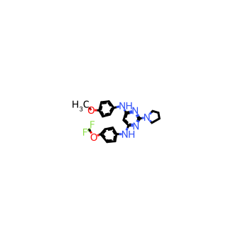 COc1ccc(Nc2cc(Nc3ccc(OC(F)F)cc3)nc(N3CCCC3)n2)cc1